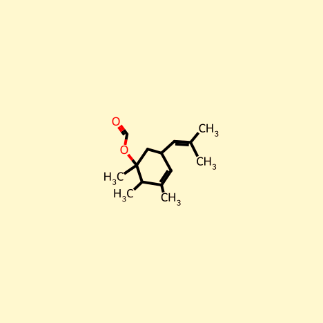 CC(C)=CC1C=C(C)C(C)C(C)(OC=O)C1